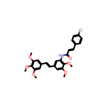 COc1cc(/C=C/c2cc(OC)c(OC)c(OC)c2)cc(NC(=O)/C=C/c2ccc(Cl)cc2)c1OC